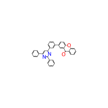 O=c1c2ccccc2oc2ccc(-c3cccc(-c4cc(-c5ccccc5)nc(-c5ccccc5)n4)c3)cc12